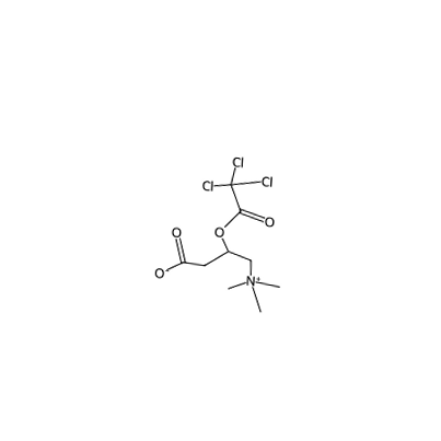 C[N+](C)(C)CC(CC(=O)[O-])OC(=O)C(Cl)(Cl)Cl